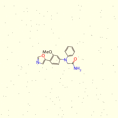 COc1cc(N(CC(N)=O)c2ccccc2)ccc1-c1cnco1